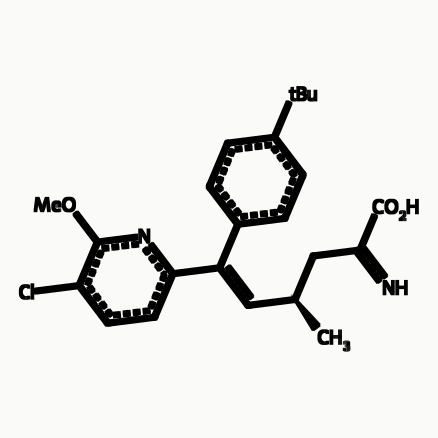 COc1nc(C(=C[C@H](C)CC(=N)C(=O)O)c2ccc(C(C)(C)C)cc2)ccc1Cl